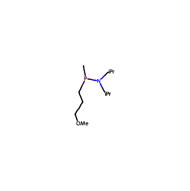 COCCCP(C)N(C(C)C)C(C)C